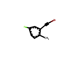 Cc1ccc(F)cc1C#CBr